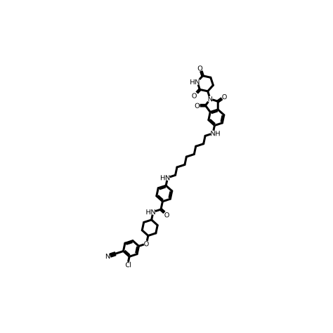 N#Cc1ccc(OC2CCC(NC(=O)c3ccc(NCCCCCCCCNc4ccc5c(c4)C(=O)N(C4CCC(=O)NC4=O)C5=O)cc3)CC2)cc1Cl